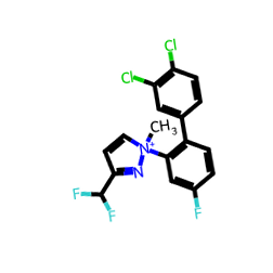 C[N+]1(c2cc(F)ccc2-c2ccc(Cl)c(Cl)c2)C=CC(C(F)F)=N1